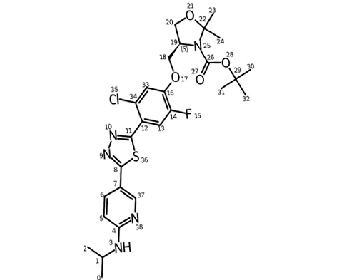 CC(C)Nc1ccc(-c2nnc(-c3cc(F)c(OC[C@H]4COC(C)(C)N4C(=O)OC(C)(C)C)cc3Cl)s2)cn1